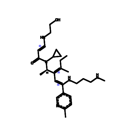 CC/C(C)=C(/C=C(\NCCCNC)c1ccc(C)nc1)[C@@H](C)N(C(=O)/C=C/NCCO)C1CC1